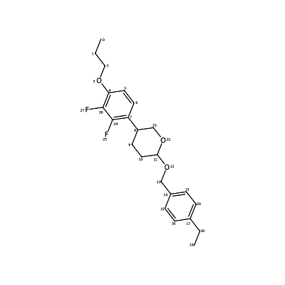 CCCOc1ccc(C2CCC(OCc3ccc(CC)cc3)OC2)c(F)c1F